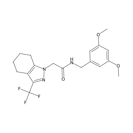 COc1cc(CNC(=O)Cn2nc(C(F)(F)F)c3c2CCCC3)cc(OC)c1